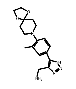 NCc1nn[nH]c1-c1ccc(N2CCC3(CC2)OCCO3)c(F)c1